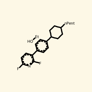 CCCCCC1CCC(c2ccc(-c3ccc(F)nc3F)cc2)CC1.CCO